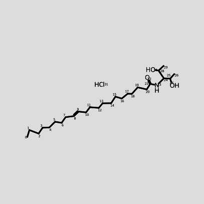 CCCCCCCCC=CCCCCCCCCCCCC(=O)NC(C(C)O)C(C)O.Cl